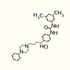 Cc1cc(C)cc(NC(=O)Nc2ccc(CCCCN3CCN(c4ccccc4)CC3)cc2)c1.Cl